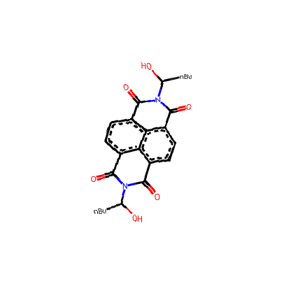 CCCCC(O)N1C(=O)c2ccc3c4c(ccc(c24)C1=O)C(=O)N(C(O)CCCC)C3=O